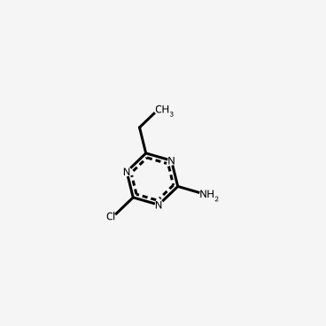 CCc1nc(N)nc(Cl)n1